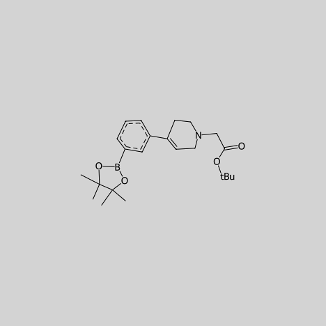 CC(C)(C)OC(=O)CN1CC=C(c2cccc(B3OC(C)(C)C(C)(C)O3)c2)CC1